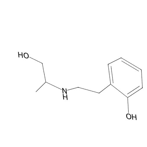 CC(CO)NCCc1ccccc1O